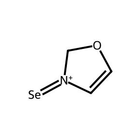 [Se]=[N+]1C=COC1